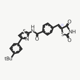 CC(C)(C)c1ccc(-c2csc(NC(=O)c3ccc(/C=C4\SC(=O)NC4=O)cc3)n2)cc1